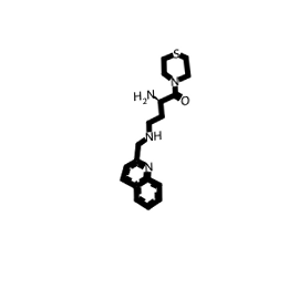 N[C@@H](CCNCc1ccc2ccccc2n1)C(=O)N1CCSCC1